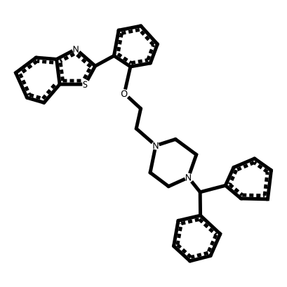 c1ccc(C(c2ccccc2)N2CCN(CCOc3ccccc3-c3nc4ccccc4s3)CC2)cc1